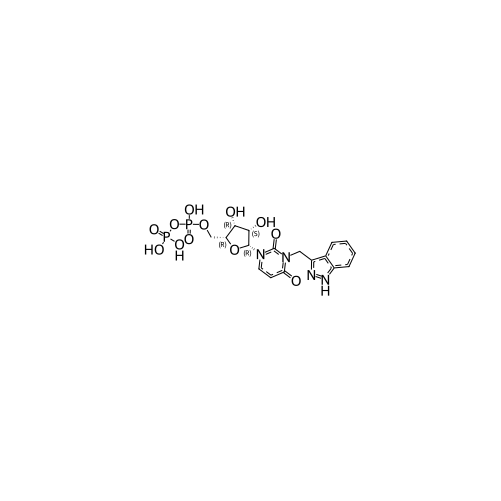 O=c1ccn([C@@H]2O[C@H](COP(=O)(O)OP(=O)(O)O)[C@H](O)[C@@H]2O)c(=O)n1Cc1n[nH]c2ccccc12